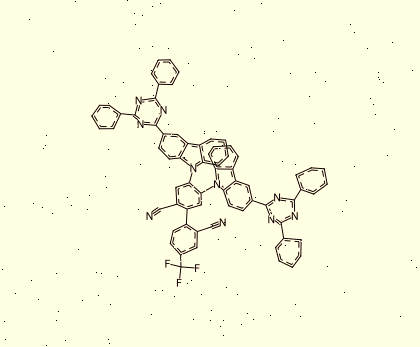 N#Cc1cc(C(F)(F)F)ccc1-c1cc(-n2c3ccccc3c3cc(-c4nc(-c5ccccc5)nc(-c5ccccc5)n4)ccc32)c(-n2c3ccccc3c3cc(-c4nc(-c5ccccc5)nc(-c5ccccc5)n4)ccc32)cc1C#N